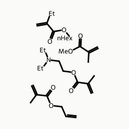 C=C(C)C(=O)OC.C=C(C)C(=O)OCCN(CC)CC.C=C(CC)C(=O)OCCCCCC.C=CCOC(=O)C(=C)C